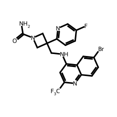 NC(=O)N1CC(CNc2cc(C(F)(F)F)nc3ccc(Br)cc23)(c2ccc(F)cn2)C1